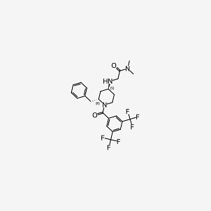 CN(C)C(=O)CN[C@H]1CCN(C(=O)c2cc(C(F)(F)F)cc(C(F)(F)F)c2)[C@H](Cc2ccccc2)C1